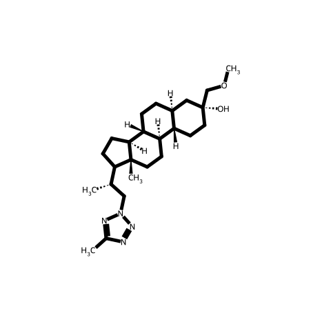 COC[C@@]1(O)CC[C@H]2[C@@H](CC[C@@H]3[C@@H]2CC[C@]2(C)C([C@@H](C)Cn4nnc(C)n4)CC[C@@H]32)C1